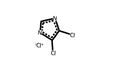 Clc1nc[n-]c1Cl.[Cl+]